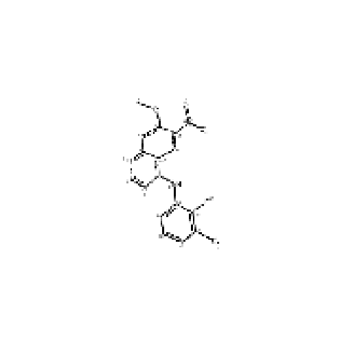 COc1cc2ncnc(Nc3cccc(Cl)c3F)c2cc1[N+](=O)[O-]